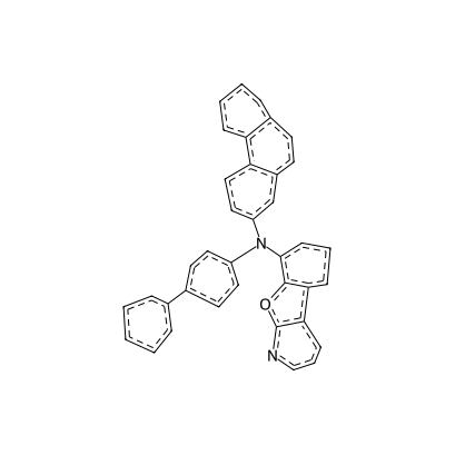 c1ccc(-c2ccc(N(c3ccc4c(ccc5ccccc54)c3)c3cccc4c3oc3ncccc34)cc2)cc1